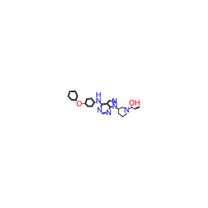 C=CC(O)N1CCC[C@@H](n2ncc3c(Nc4ccc(Oc5ccccc5)cc4)ncnc32)C1